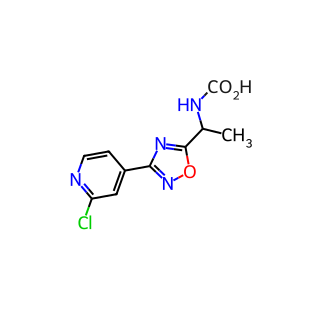 CC(NC(=O)O)c1nc(-c2ccnc(Cl)c2)no1